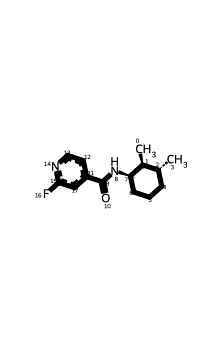 C[C@H]1[C@H](C)CCC[C@H]1NC(=O)c1ccnc(F)c1